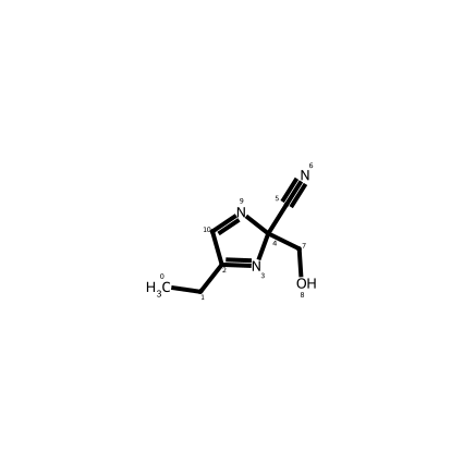 CCC1=NC(C#N)(CO)N=C1